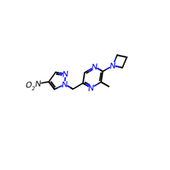 Cc1nc(Cn2cc([N+](=O)[O-])cn2)cnc1N1CCC1